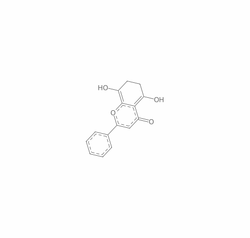 O=c1cc(-c2ccccc2)oc2c1=C(O)CCC=2O